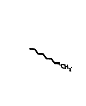 [CH3].[CH]=CCCCCCC